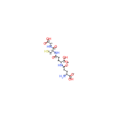 N[C@@H](CCC(=O)N[C@@H](CCC(=O)N[C@@H](CS)C(=O)NCC(=O)O)C(=O)O)C(=O)O